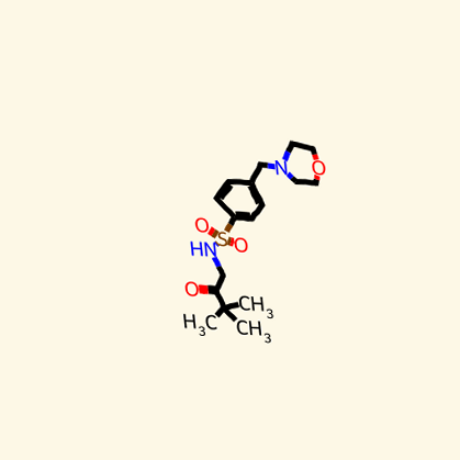 CC(C)(C)C(=O)CNS(=O)(=O)c1ccc(CN2CCOCC2)cc1